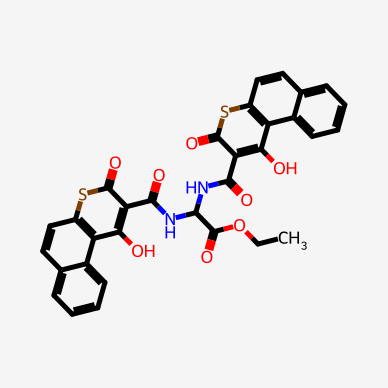 CCOC(=O)C(NC(=O)c1c(O)c2c(ccc3ccccc32)sc1=O)NC(=O)c1c(O)c2c(ccc3ccccc32)sc1=O